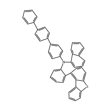 c1ccc(-c2ccc(-c3ccc(N(c4ccccc4-c4cccc5sc6ccccc6c45)c4cccc5ccccc45)cc3)cc2)cc1